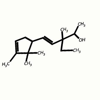 CCC(C)(C=CC1CC=C(C)C1(C)C)C(C)O